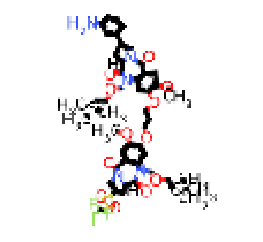 COc1cc2c(cc1OCCCOc1cc3c(cc1OC)C(=O)N1C=C(S(=O)(=O)C(F)(F)F)C[C@H]1C(=O)N3COCC[Si](C)(C)C)N(COCC[Si](C)(C)C)C(=O)[C@@H]1CC(c3cccc(N)c3)=CN1C2=O